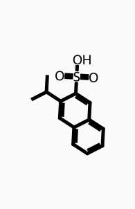 CC(C)c1cc2ccccc2cc1S(=O)(=O)O